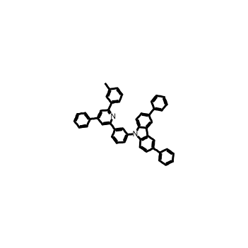 Cc1cccc(-c2cc(-c3ccccc3)cc(-c3cccc(-n4c5ccc(-c6ccccc6)cc5c5cc(-c6ccccc6)ccc54)c3)n2)c1